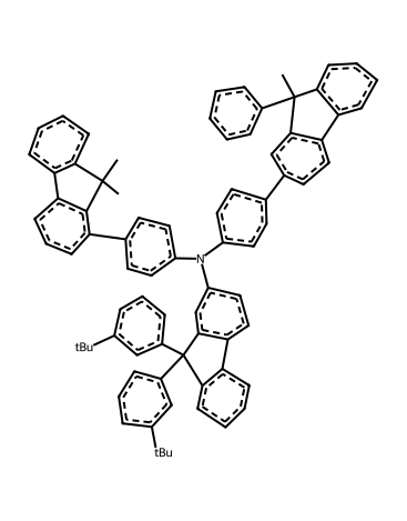 CC(C)(C)c1cccc(C2(c3cccc(C(C)(C)C)c3)c3ccccc3-c3ccc(N(c4ccc(-c5ccc6c(c5)C(C)(c5ccccc5)c5ccccc5-6)cc4)c4ccc(-c5cccc6c5C(C)(C)c5ccccc5-6)cc4)cc32)c1